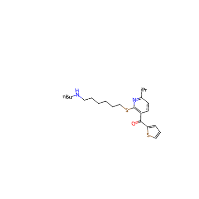 CCCCNCCCCCCSc1nc(C(C)C)ccc1C(=O)c1cccs1